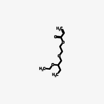 C=CC(=O)OCCOCC(CC)OCC